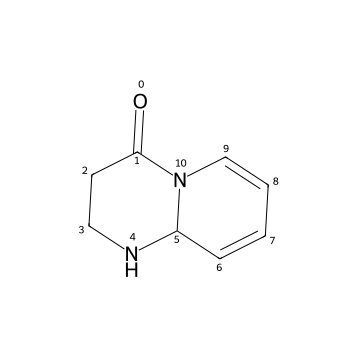 O=C1CCNC2C=CC=CN12